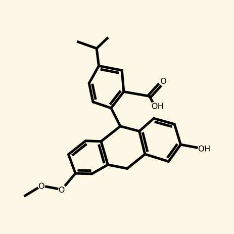 COOc1ccc2c(c1)Cc1cc(O)ccc1C2c1ccc(C(C)C)cc1C(=O)O